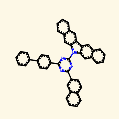 c1ccc(-c2ccc(-c3nc(-c4ccc5ccccc5c4)nc(-n4c5cc6ccccc6cc5c5cc6ccccc6cc54)n3)cc2)cc1